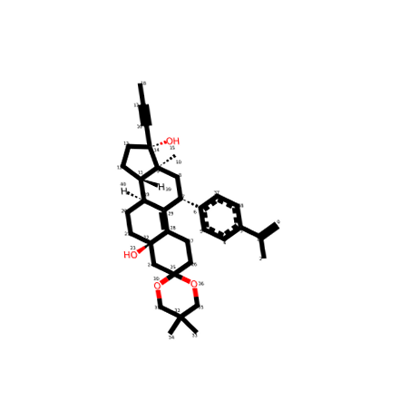 C=C(C)c1ccc([C@H]2C[C@@]3(C)[C@@H](CC[C@@]3(O)C#CC)[C@@H]3CC[C@@]4(O)CC5(CCC4=C32)OCC(C)(C)CO5)cc1